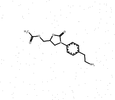 CC(=O)OCC1CN(c2ccc(CCN)cc2)C(=O)O1